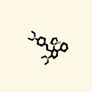 CCN(CC)c1ccc(C=Cc2c(N(CC)CC)ccc(-c3ccccc3)c2N2C=CCN2)cc1